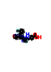 O=C(O)c1ccc(CNc2nc(-c3cc(-c4ccon4)n(Cc4ccccc4F)n3)ncc2F)cc1